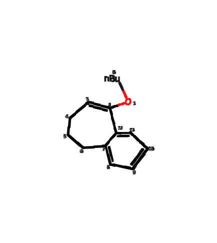 CCCCOC1=[C]CCCc2ccccc21